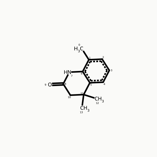 Cc1cccc2c1NC(=O)CC2(C)C